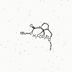 CCOC(=O)C1(C)C(COCF)CCN1C(=O)OC(C)(C)C